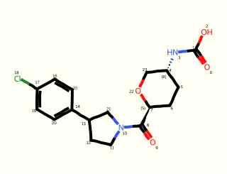 O=C(O)N[C@@H]1CC[C@@H](C(=O)N2CCC(c3ccc(Cl)cc3)C2)OC1